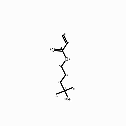 C=CC(=O)OCCCC(C)(C)Br